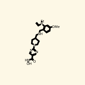 C=CN(CC)c1cc(OC)ccc1CNCC1CCN(c2ncc(C(=O)NO)cn2)CC1